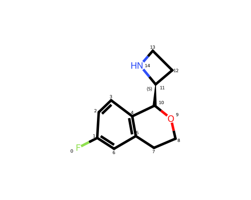 Fc1ccc2c(c1)CCOC2[C@@H]1CCN1